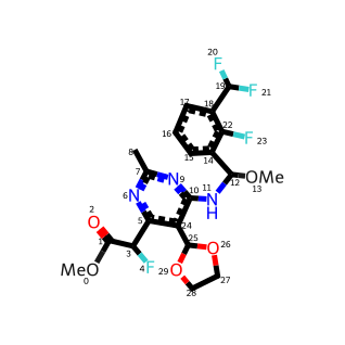 COC(=O)C(F)c1nc(C)nc(NC(OC)c2cccc(C(F)F)c2F)c1C1OCCO1